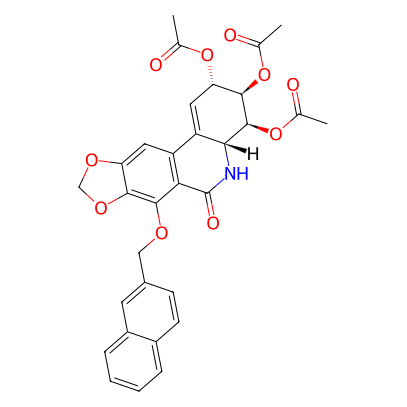 CC(=O)O[C@@H]1[C@H](OC(C)=O)[C@@H](OC(C)=O)C=C2c3cc4c(c(OCc5ccc6ccccc6c5)c3C(=O)N[C@H]21)OCO4